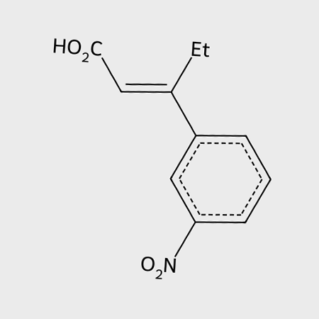 CCC(=CC(=O)O)c1cccc([N+](=O)[O-])c1